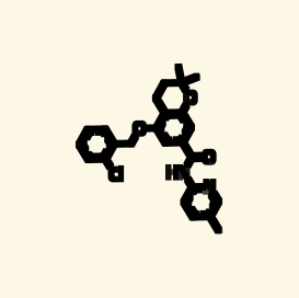 Cc1ccc(NC(=O)c2cc(OCc3ccccc3Cl)c3c(c2)OC(C)(C)CC3)nc1